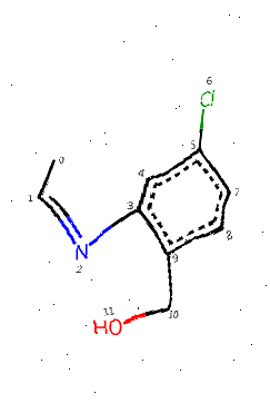 C/C=N\c1cc(Cl)ccc1CO